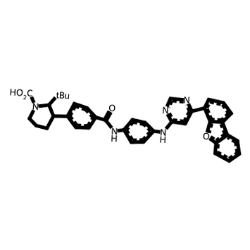 CC(C)(C)C1C(c2ccc(C(=O)Nc3ccc(Nc4cc(-c5cccc6c5oc5ccccc56)ncn4)cc3)cc2)CCCN1C(=O)O